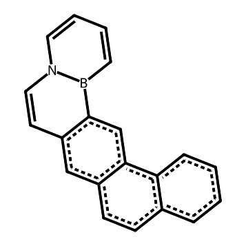 C1=CB2c3cc4c(ccc5ccccc54)cc3C=CN2C=C1